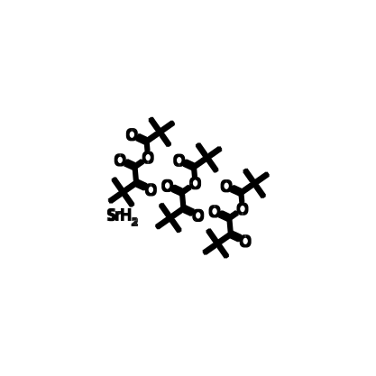 CC(C)(C)C(=O)OC(=O)C(=O)C(C)(C)C.CC(C)(C)C(=O)OC(=O)C(=O)C(C)(C)C.CC(C)(C)C(=O)OC(=O)C(=O)C(C)(C)C.[SrH2]